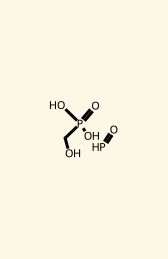 O=P.O=P(O)(O)CO